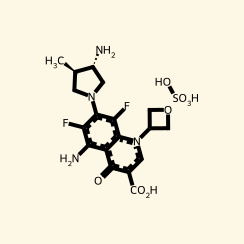 C[C@@H]1CN(c2c(F)c(N)c3c(=O)c(C(=O)O)cn(C4COC4)c3c2F)C[C@H]1N.O=S(=O)(O)O